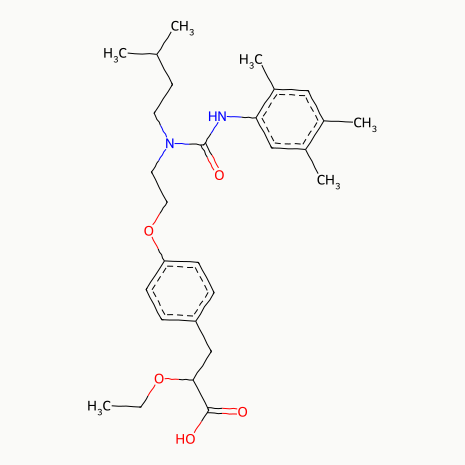 CCOC(Cc1ccc(OCCN(CCC(C)C)C(=O)Nc2cc(C)c(C)cc2C)cc1)C(=O)O